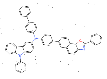 C1=CC2C(=CC=C3N=C(c4ccccc4)OC32)C=C1c1ccc(N(c2ccc(-c3ccccc3)cc2)c2ccc3c(c2)c2ccccc2n3-c2ccccc2)cc1